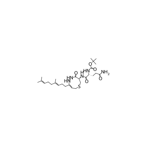 CC(C)=CCC/C(C)=C/CC/C1=C/CSC[C@H](NC(=O)[C@@H](CCC(N)=O)NC(=O)OC(C)(C)C)C(=O)NN1